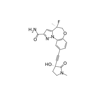 CN1CC[C@@](O)(C#Cc2ccc3c(c2)-n2nc(C(N)=O)cc2[C@@](C)(F)CO3)C1=O